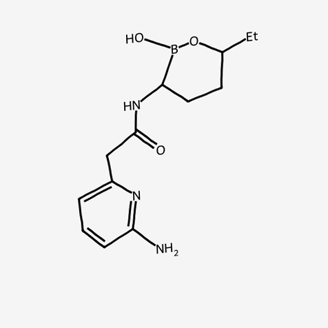 CCC1CCC(NC(=O)Cc2cccc(N)n2)B(O)O1